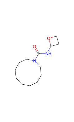 O=C(NC1CCO1)N1CCCCCCCCC1